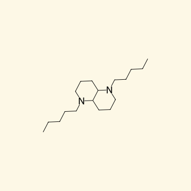 CCCCCN1CCCC2C1CCCN2CCCCC